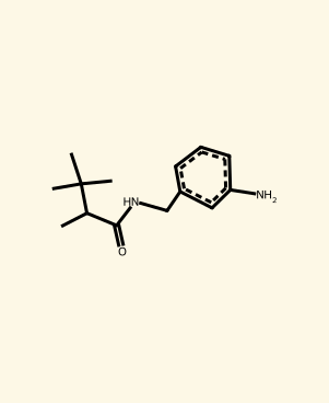 CC(C(=O)NCc1cccc(N)c1)C(C)(C)C